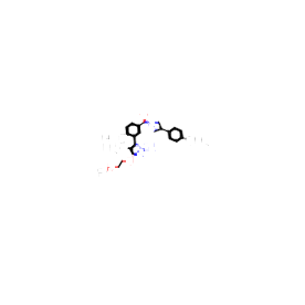 CCOCCOc1n[nH]c(-c2cc(C(=O)N3CC(c4ccc(C)cc4)C3)ccc2C)c1C